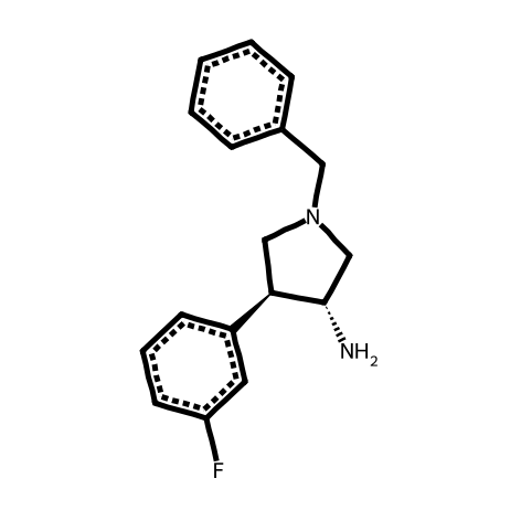 N[C@H]1CN(Cc2ccccc2)C[C@@H]1c1cccc(F)c1